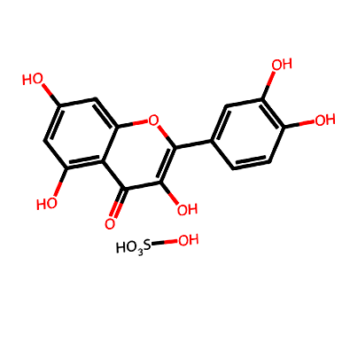 O=S(=O)(O)O.O=c1c(O)c(-c2ccc(O)c(O)c2)oc2cc(O)cc(O)c12